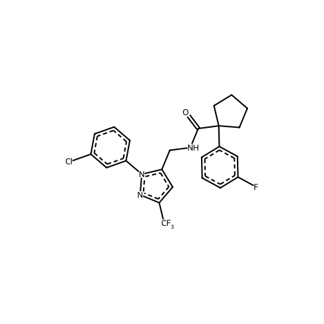 O=C(NCc1cc(C(F)(F)F)nn1-c1cccc(Cl)c1)C1(c2cccc(F)c2)CCCC1